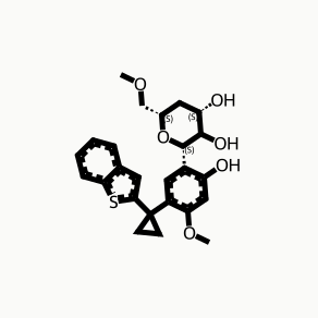 COC[C@@H]1C[C@H](O)C(O)[C@H](c2cc(C3(c4cc5ccccc5s4)CC3)c(OC)cc2O)O1